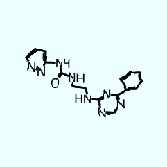 O=C(NCCNc1ncnc(-c2ccccc2)n1)Nc1cccnn1